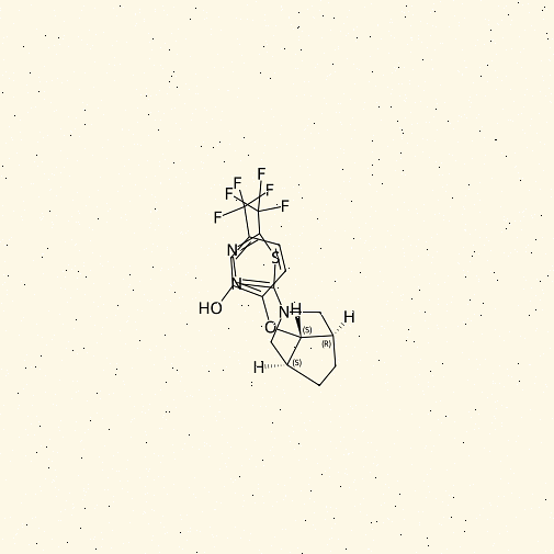 Oc1cc(C(F)(F)F)ccc1O[C@@H]1[C@@H]2CC[C@H]1CN(c1nnc(C(F)(F)F)s1)C2